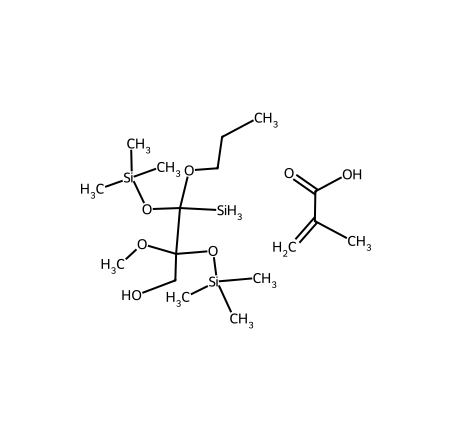 C=C(C)C(=O)O.CCCOC([SiH3])(O[Si](C)(C)C)C(CO)(OC)O[Si](C)(C)C